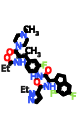 CCC(=O)N[C@@H](C(=O)N1CCN(C)CC1)[C@@H](C)c1ccc(NC(=O)C(NC(=O)c2ccnn2CC)C2CCc3cc(F)cc(F)c32)c(F)c1